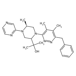 Cc1c(Cc2ccccc2)nnc(N2C[C@H](C)N(c3cnccn3)CC2C(C)(C)O)c1C